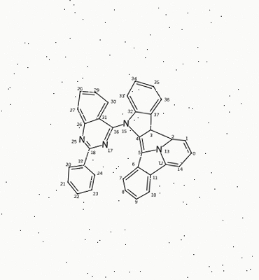 C1=CC2C3C(=c4c5ccccc5c(n42)=C1)N(c1nc(-c2ccccc2)nc2ccccc12)c1ccccc13